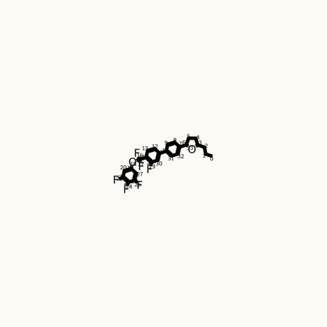 CCCC1CCC(c2ccc(-c3ccc(C(F)(F)Oc4cc(F)c(F)c(F)c4)c(F)c3)cc2)O1